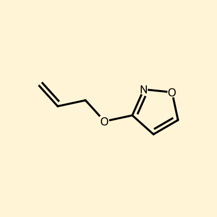 C=CCOc1ccon1